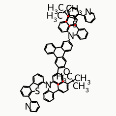 CC(C)(C)c1ccc(-c2ccccc2N(c2ccc3oc4cc5c6ccc(N(c7ccccc7-c7ccc(C(C)(C)C)cc7)c7cccc8c7sc7c(-c9ccccn9)cccc78)cc6c6ccccc6c5cc4c3c2)c2cccc3c2sc2c(-c4ccccn4)cccc23)cc1